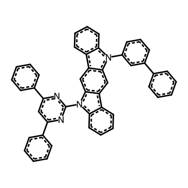 c1ccc(-c2cccc(-n3c4ccccc4c4cc5c(cc43)c3ccccc3n5-c3nc(-c4ccccc4)cc(-c4ccccc4)n3)c2)cc1